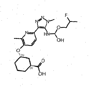 Cc1nc(-c2nnn(C)c2NC(O)OCC(C)F)ccc1O[C@H]1CCC[C@H](C(=O)O)C1